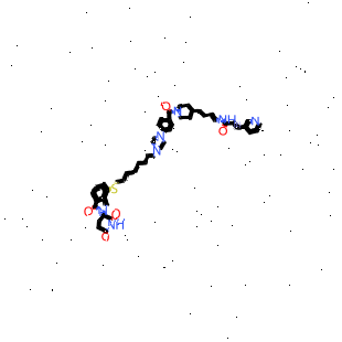 O=C(/C=C/c1cccnc1)NCCCCC1CCN(C(=O)c2ccc(N3CCN(CCCCCCCCSc4cccc5c4CN(C4CCC(=O)NC4=O)C5=O)CC3)cc2)CC1